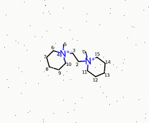 C[N+]1(CC[N+]2(C)CCCCC2)CCCCC1